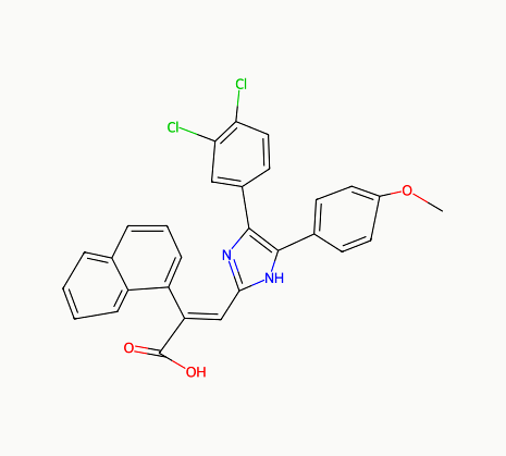 COc1ccc(-c2[nH]c(/C=C(/C(=O)O)c3cccc4ccccc34)nc2-c2ccc(Cl)c(Cl)c2)cc1